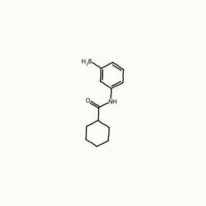 Bc1cccc(NC(=O)C2CCCCC2)c1